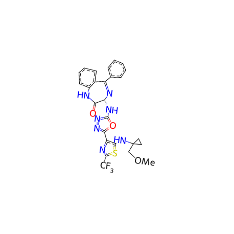 COCC1(Nc2sc(C(F)(F)F)nc2-c2nnc(N[C@H]3N=C(c4ccccc4)c4ccccc4NC3=O)o2)CC1